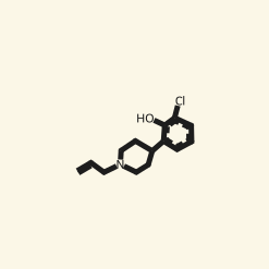 C=CCN1CCC(c2cccc(Cl)c2O)CC1